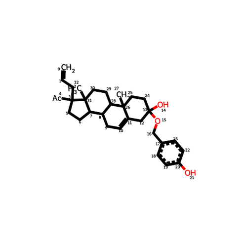 C=CCC1(C(C)=O)CCC2C3CC=C4CC(O)(OCc5ccc(O)cc5)CCC4(C)C3CCC21C